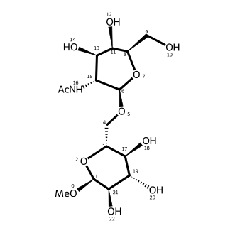 CO[C@H]1O[C@H](CO[C@@H]2O[C@H](CO)[C@H](O)[C@H](O)[C@H]2NC(C)=O)[C@@H](O)[C@H](O)[C@H]1O